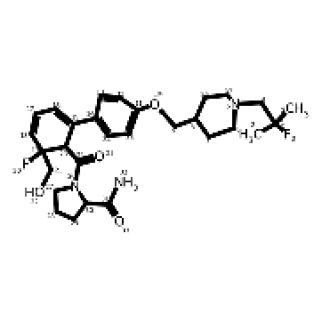 CC(C)(F)CN1CCC(COc2ccc(C3=CC=CC(F)(CO)C3C(=O)N3CCCC3C(N)=O)cc2)CC1